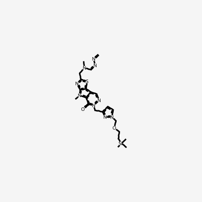 C=N/N=C\N(C)Cc1nc2c(s1)c1cnn(Cc3ccn(COCC[Si](C)(C)C)n3)c(=O)c1n2C